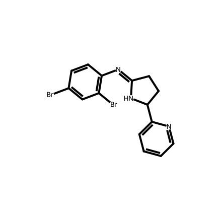 Brc1ccc(/N=C2/CCC(c3ccccn3)N2)c(Br)c1